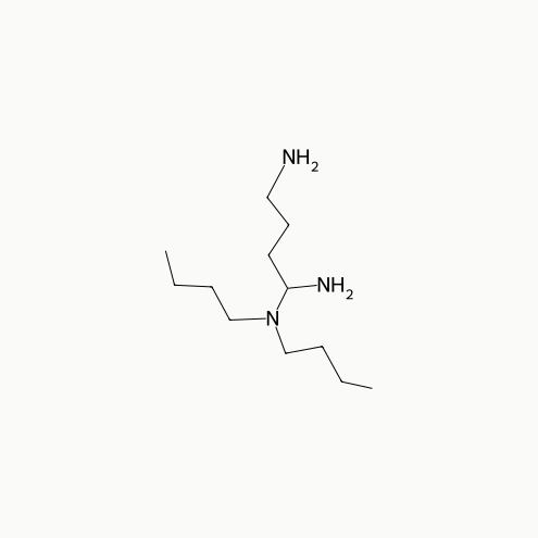 CCCCN(CCCC)C(N)CCCN